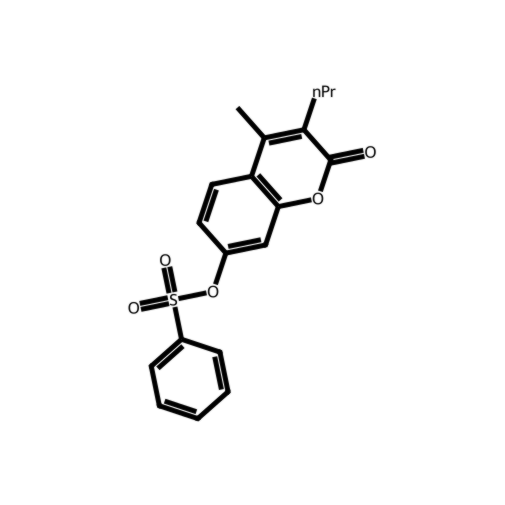 CCCc1c(C)c2ccc(OS(=O)(=O)c3ccccc3)cc2oc1=O